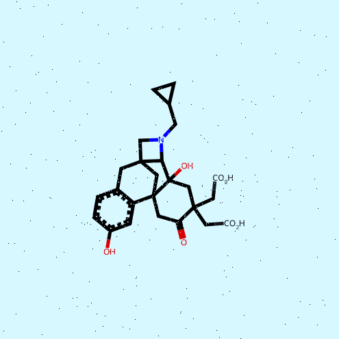 O=C(O)CC1(CC(=O)O)CC2(O)C3N(CC4CC4)CC34Cc3ccc(O)cc3C2(CC1=O)C4